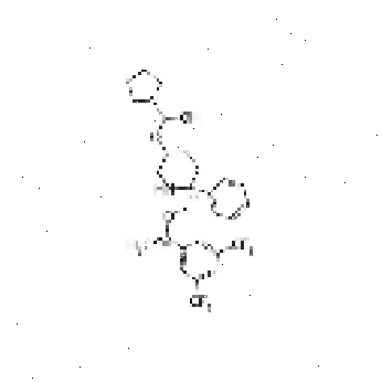 C[C@@H](OC[C@@]1(c2ccccc2)CCC(OC(O)N2CCCC2)CN1)c1cc(C(F)(F)F)cc(C(F)(F)F)c1